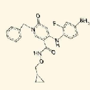 Bc1ccc(Nc2cc(=O)n(Cc3ccccc3)cc2C(=O)NOCC2CC2)c(F)c1